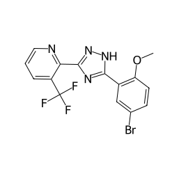 COc1ccc(Br)cc1-c1nc(-c2ncccc2C(F)(F)F)n[nH]1